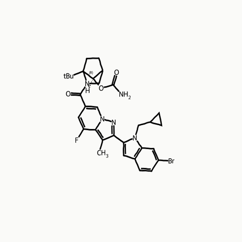 Cc1c(-c2cc3ccc(Br)cc3n2CC2CC2)nn2cc(C(=O)N3CC4CCC3(C(C)(C)C)[C@@H]4OC(N)=O)cc(F)c12